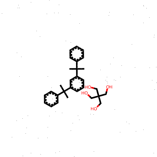 CC(C)(c1ccccc1)c1cccc(C(C)(C)c2ccccc2)c1.OCC(CO)(CO)CO